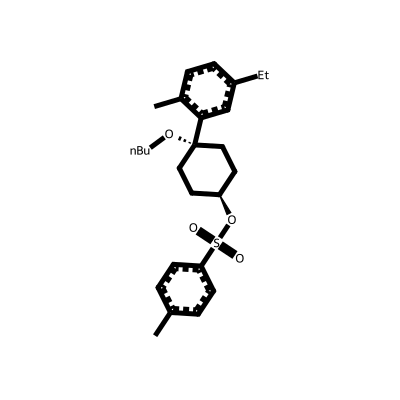 CCCCO[C@]1(c2cc(CC)ccc2C)CC[C@@H](OS(=O)(=O)c2ccc(C)cc2)CC1